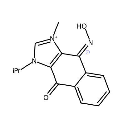 CC(C)n1c[n+](C)c2c1C(=O)c1ccccc1/C2=N/O